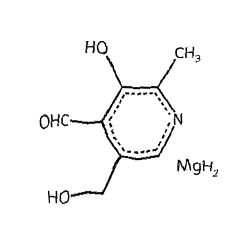 Cc1ncc(CO)c(C=O)c1O.[MgH2]